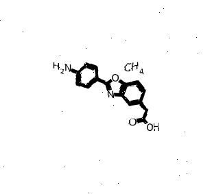 C.Nc1ccc(-c2nc3cc(CC(=O)O)ccc3o2)cc1